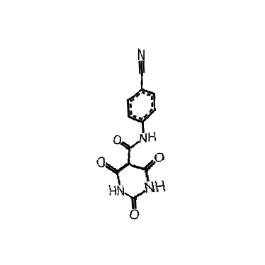 N#Cc1ccc(NC(=O)C2C(=O)NC(=O)NC2=O)cc1